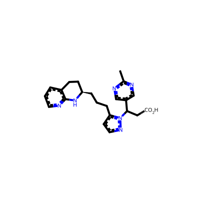 Cc1ncc(C(CC(=O)O)n2nccc2CCC[C@@H]2CCc3cccnc3N2)cn1